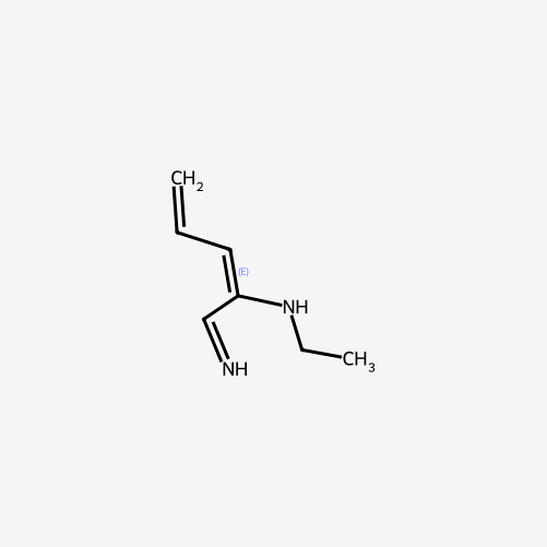 C=C/C=C(\C=N)NCC